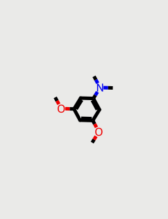 COc1cc(OC)cc(N(C)C)c1